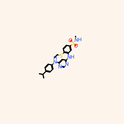 CCSc1ccc(S(=O)(=O)NC)cc1Nc1cc(Nc2ccc(C(C)C)cc2)ncn1